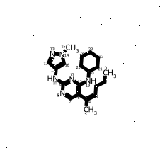 CCC/C=C(/C)c1cnc(Nc2cnn(C)c2)nc1NC1CCCCC1